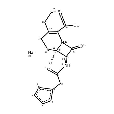 O=C(Cc1cccs1)N[C@@H]1C(=O)N2C(C(=O)[O-])=C(CO)CS[C@H]12.[Na+]